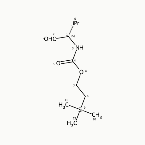 CC(C)[C@@H]([C]=O)NC(=O)OCC[Si](C)(C)C